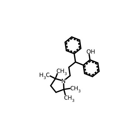 CC1(C)CCC(C)(C)N1CCC(c1ccccc1)c1ccccc1O